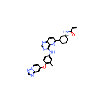 C=CC(=O)N[C@@H]1CCCC(c2ccc3ncnc(Nc4ccc(Oc5ccn6ncnc6c5)c(C)c4)c3n2)C1